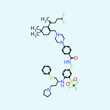 C=C(CCC(F)F)C1=C(CN2CCN(c3ccc(C(=O)NSc4ccc(NC(CCN5CCCC5)CSc5ccccc5)c(S(=O)(=O)C(F)(F)F)c4)cc3)CC2)CCC(C)(C)C1